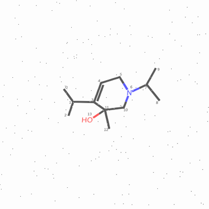 CC(C)C1=CCN(C(C)C)CC1(C)O